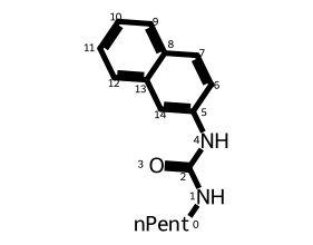 CCCCCNC(=O)Nc1ccc2ccccc2c1